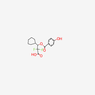 O=C(OC(C1CCCCC1)C(F)(F)C(=O)O)c1ccc(O)cc1